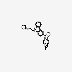 O=C(c1ccc2c(c1)c1ccccc1n2CCCCl)N1CCN(F)CC1